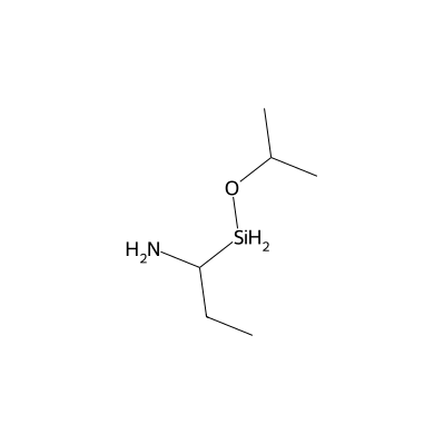 CCC(N)[SiH2]OC(C)C